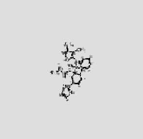 Cc1noc(NS(=O)(=O)C2(CNC(=O)C(C)(C)C)C=C(c3ncco3)C=CC2c2ccccc2)c1C